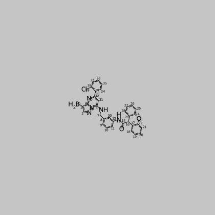 Bc1cnn2c(NCc3cccc(NC(=O)C4c5ccccc5Oc5ccccc54)c3)cc(-c3ccccc3Cl)nc12